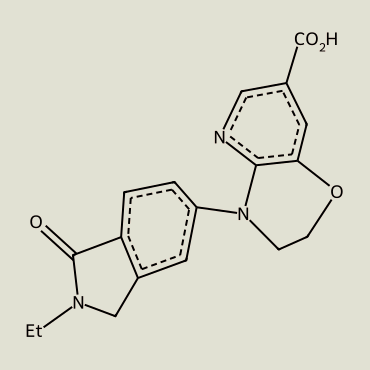 CCN1Cc2cc(N3CCOc4cc(C(=O)O)cnc43)ccc2C1=O